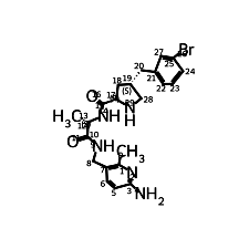 Cc1nc(N)ccc1CNC(=O)[C@H](C)NC(=O)[C@H]1C[C@H](Cc2cccc(Br)c2)CN1